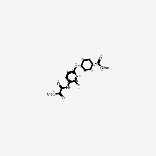 COC(=O)C(=O)Nc1ccc(O[C@H]2CC[C@@H](C(=O)OC)CC2)nc1F